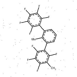 Cc1c(F)c(F)c(F)c(-c2cccc(-c3c(F)c(F)c(F)c(F)c3F)c2C(C)(C)C)c1F